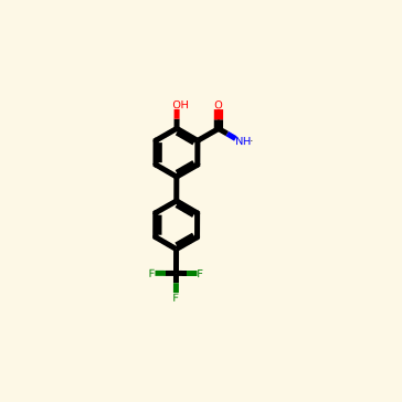 [NH]C(=O)c1cc(-c2ccc(C(F)(F)F)cc2)ccc1O